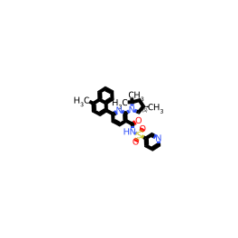 Cc1ccc(-c2ccc(C(=O)NS(=O)(=O)c3cccnc3)c(N3C[C@@H](C)CC3(C)C)n2)c2ccccc12